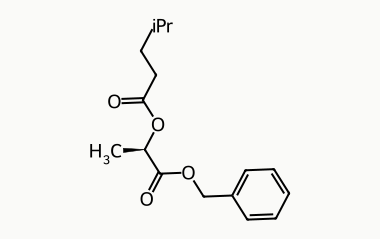 CC(C)CCC(=O)O[C@H](C)C(=O)OCc1ccccc1